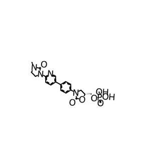 CN1CCN(c2ccc(-c3ccc(N4C[C@H](COP(=O)(O)O)OC4=O)cc3)cn2)C1=O